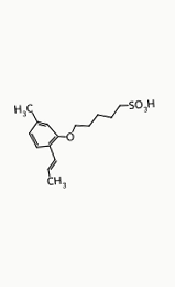 CC=Cc1ccc(C)cc1OCCCCCS(=O)(=O)O